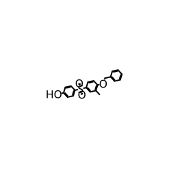 Cc1cc(S(=O)(=O)c2ccc(O)cc2)ccc1OCc1ccccc1